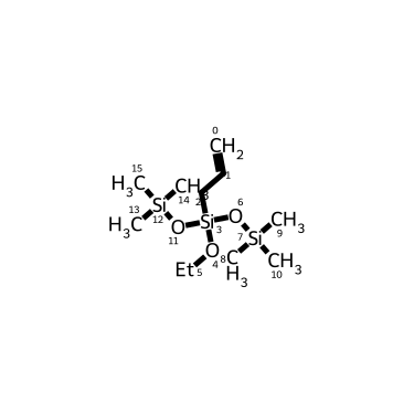 C=CC[Si](OCC)(O[Si](C)(C)C)O[Si](C)(C)C